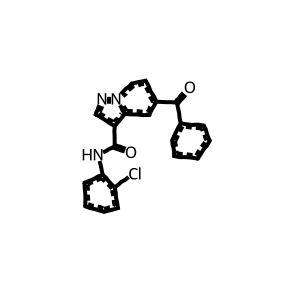 O=C(c1ccccc1)c1ccn2ncc(C(=O)Nc3ccccc3Cl)c2c1